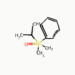 CC(C)S(C)(C)(=O)c1ccccc1